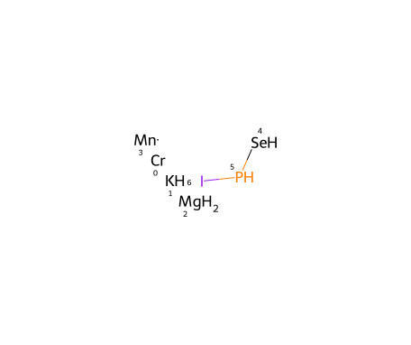 [Cr].[KH].[MgH2].[Mn].[SeH]PI